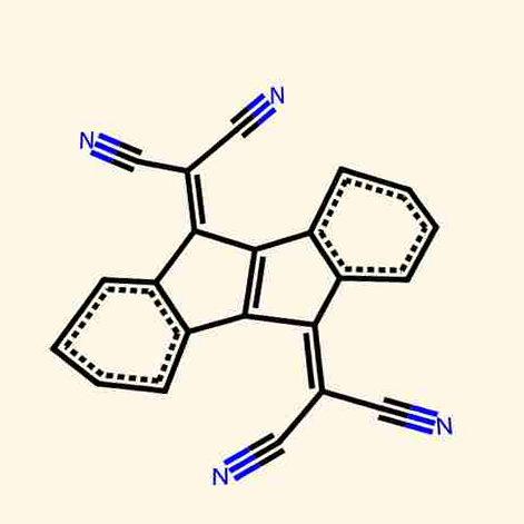 N#CC(C#N)=C1C2=C(C(=C(C#N)C#N)c3ccccc32)c2ccccc21